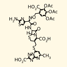 CC(=O)Oc1cc(CO/N=C(\C(=O)N[C@@H]2C(=O)N3C(C(=O)O)=C(CSc4cc(C)nc5nc(C(=O)O)nn45)CS[C@H]23)c2csc(N)n2)c(C(=O)O)c(OC(C)=O)c1OC(C)=O